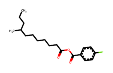 CCCC(C)CCCCCCC(=O)OC(=O)c1ccc(F)cc1